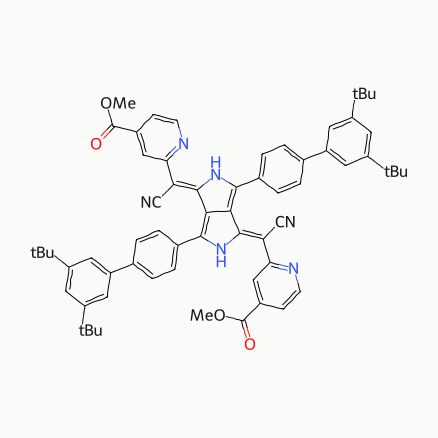 COC(=O)c1ccnc(/C(C#N)=c2\[nH]c(-c3ccc(-c4cc(C(C)(C)C)cc(C(C)(C)C)c4)cc3)c3/c(=C(\C#N)c4cc(C(=O)OC)ccn4)[nH]c(-c4ccc(-c5cc(C(C)(C)C)cc(C(C)(C)C)c5)cc4)c23)c1